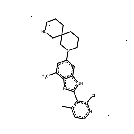 Cc1cc(N2CCCC3(CCCNC3)C2)cc2[nH]c(-c3c(I)ccnc3Cl)nc12